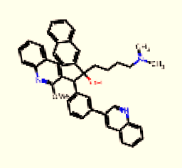 COc1nc2ccccc2cc1C(c1cccc(-c2cnc3ccccc3c2)c1)C(O)(CCCCN(C)C)c1ccc2ccccc2c1